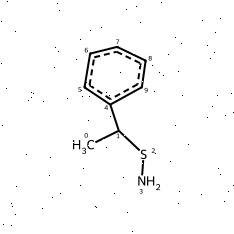 CC(SN)c1ccccc1